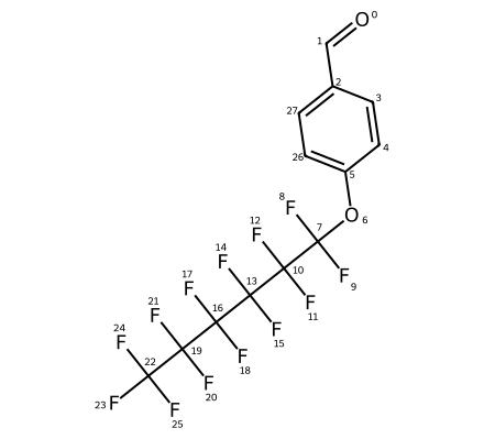 O=Cc1ccc(OC(F)(F)C(F)(F)C(F)(F)C(F)(F)C(F)(F)C(F)(F)F)cc1